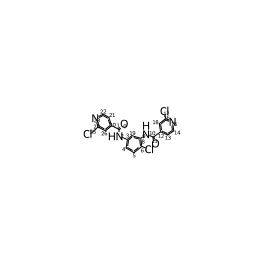 O=C(Nc1ccc(Cl)c(NC(=O)c2ccnc(Cl)c2)c1)c1ccnc(Cl)c1